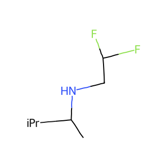 CC(C)C(C)NCC(F)F